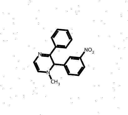 CN1C=CN=C(c2ccccc2)C1c1cccc([N+](=O)[O-])c1